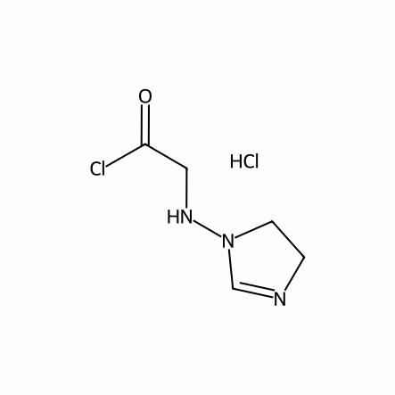 Cl.O=C(Cl)CNN1C=NCC1